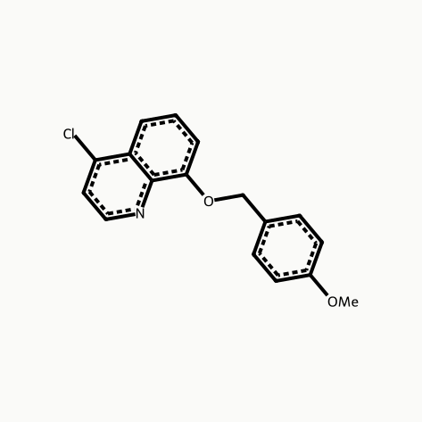 COc1ccc(COc2cccc3c(Cl)ccnc23)cc1